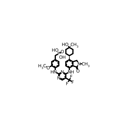 COc1cc(CP(=O)(O)O)ccc1Nc1ncc(C(F)(F)F)c(Nc2ccc([C@H]3CC[C@@](C)(O)CC3)c3c2C(=O)N(C)C3)n1